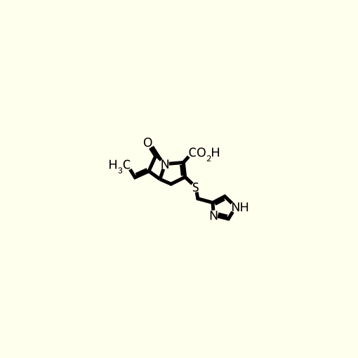 CC=C1C(=O)N2C(C(=O)O)=C(SCc3c[nH]cn3)CC12